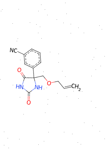 C=CCOCC1(c2cccc(C#N)c2)NC(=O)NC1=O